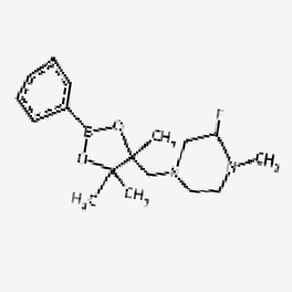 CN1CCN(CC2(C)OB(c3ccccc3)OC2(C)C)CC1F